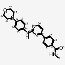 CNC(=O)c1ccc(-c2ccnc(Nc3ccc(N4CCOCC4)cc3)n2)cc1